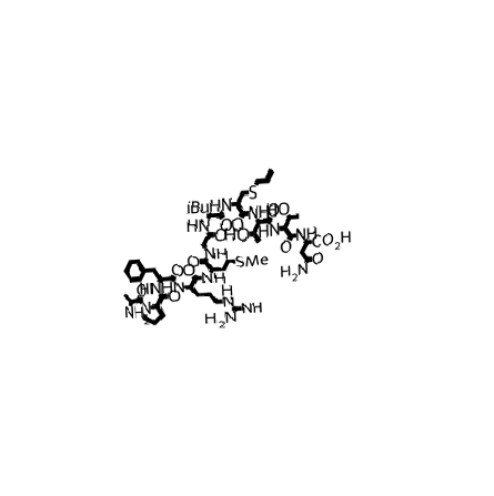 C=CCSCC(NC(=O)C(NC(=O)CNC(=O)C(CCSC)NC(=O)C(CCCNC(=N)N)NC(=O)C(Cc1ccccc1)NC(=O)C1CCCN1C(=O)C(C)N)C(C)CC)C(=O)NC(C(=O)NC(C(=O)NC(CC(N)=O)C(=O)O)C(C)O)C(C)O